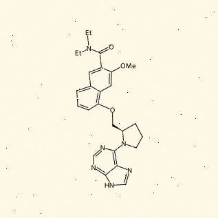 CCN(CC)C(=O)c1cc2cccc(OC[C@H]3CCCN3c3ncnc4[nH]cnc34)c2cc1OC